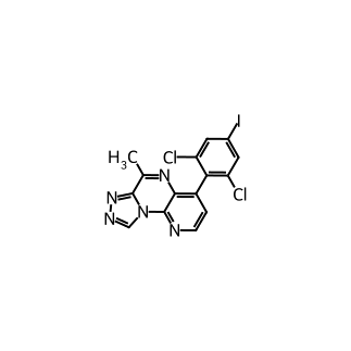 Cc1nc2c(-c3c(Cl)cc(I)cc3Cl)ccnc2n2cnnc12